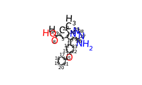 CC(C)c1c(/C=C/C(=O)O)c(-c2ccc(Oc3ccccc3)cc2)c2c(N)ncnn12